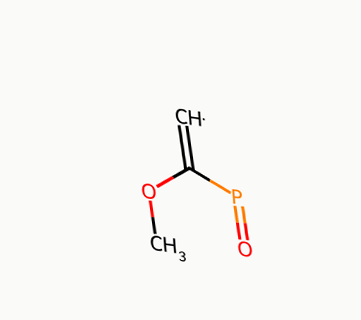 [CH]=C(OC)P=O